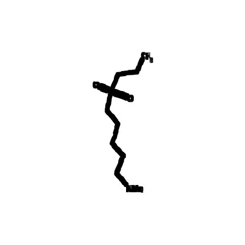 CNCCCCCS(=O)(=O)CCC(F)(F)F